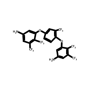 Nc1cc(Oc2ccc(Oc3cc(N)cc(C(F)(F)F)c3C(F)(F)F)c(C(F)(F)F)c2)c(C(F)(F)F)c(C(F)(F)F)c1